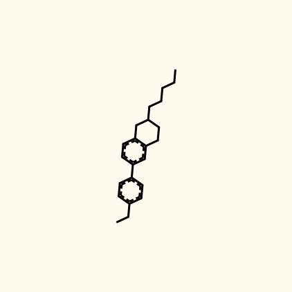 CCCCCC1CCc2cc(-c3ccc(CC)cc3)ccc2C1